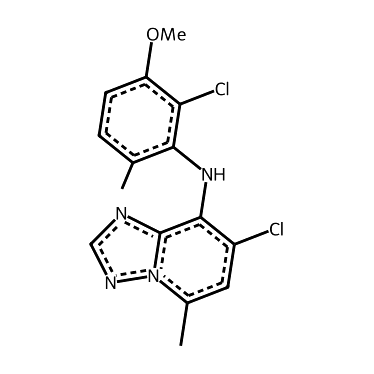 COc1ccc(C)c(Nc2c(Cl)cc(C)n3ncnc23)c1Cl